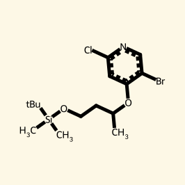 CC(CCO[Si](C)(C)C(C)(C)C)Oc1cc(Cl)ncc1Br